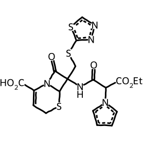 CCOC(=O)C(C(=O)NC1(CSc2nncs2)C(=O)N2C(C(=O)O)=CCSC21)n1cccc1